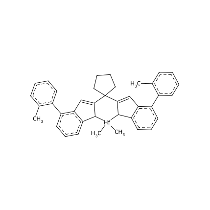 Cc1ccccc1-c1cccc2c1C=C1[CH]2[Hf]([CH3])([CH3])[CH]2C(=Cc3c(-c4ccccc4C)cccc32)C12CCCC2